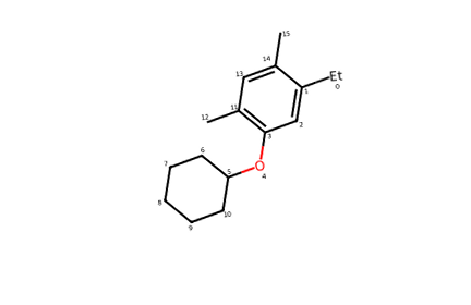 CCc1cc(OC2CCCCC2)c(C)cc1C